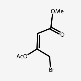 COC(=O)C=C(CBr)OC(C)=O